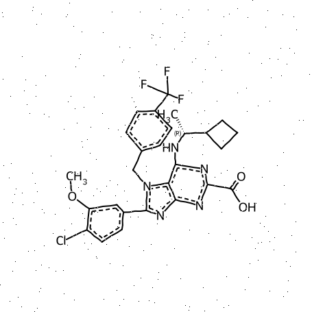 COc1cc(-c2nc3nc(C(=O)O)nc(N[C@H](C)C4CCC4)c3n2Cc2ccc(C(F)(F)F)cc2)ccc1Cl